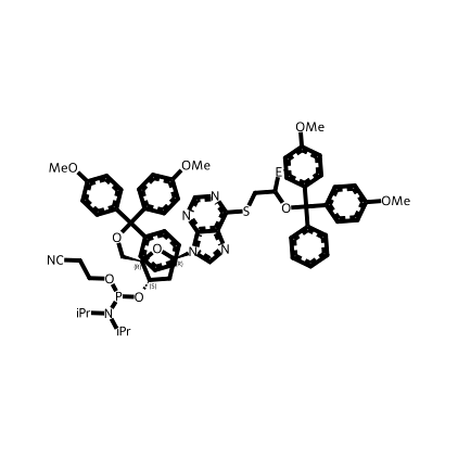 CCC(CSc1ncnc2c1ncn2[C@H]1C[C@H](OP(OCCC#N)N(C(C)C)C(C)C)[C@@H](COC(c2ccccc2)(c2ccc(OC)cc2)c2ccc(OC)cc2)O1)OC(c1ccccc1)(c1ccc(OC)cc1)c1ccc(OC)cc1